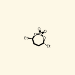 CC[C@@H]1CC[C@@H](CC)OS(=O)(=O)O1